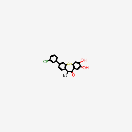 CCC1C(=O)c2cc(O)c(O)cc2Sc2cc(-c3cccc(Cl)c3)ccc21